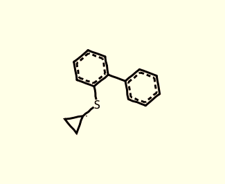 c1ccc(-c2ccccc2S[C]2CC2)cc1